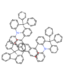 c1ccc(N2c3ccccc3C(c3ccccc3)(c3ccccc3)c3cccc(-c4cccc5c(-c6cccc7c6C6(c8ccccc8-c8ccccc86)c6ccccc6-7)c6cccc(-c7cccc8c7N(c7ccccc7)c7ccccc7C8(c7ccccc7)c7ccccc7)c6cc45)c32)cc1